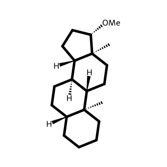 CO[C@H]1CC[C@H]2[C@@H]3CC[C@H]4CCCC[C@]4(C)[C@H]3CC[C@]12C